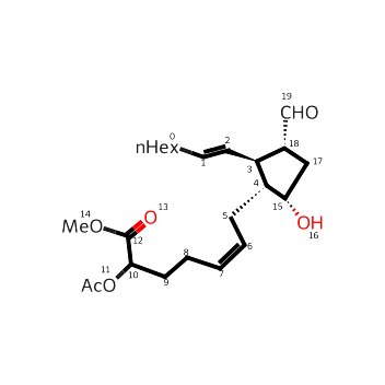 CCCCCC/C=C/[C@@H]1[C@@H](C/C=C\CCC(OC(C)=O)C(=O)OC)[C@@H](O)C[C@H]1C=O